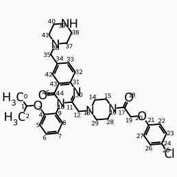 CC(C)Oc1ccccc1-n1c(CN2CCN(C(=O)COc3ccc(Cl)cc3)CC2)nc2ccc(CN3CCNCC3)cc2c1=O